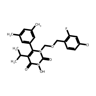 Cc1cc(C)cc(-c2c(C(C)C)c(=O)n(O)c(=O)n2COCc2ccc(Cl)cc2F)c1